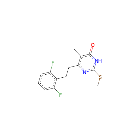 CSc1nc(CCc2c(F)cccc2F)c(C)c(=O)[nH]1